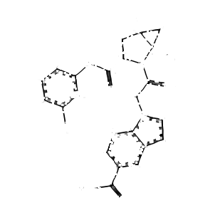 COC(=O)c1cnc2c(ccn2CC(=O)N2[C@@H]3C[C@@H]3C[C@H]2C(=O)Nc2cccc(Br)n2)c1